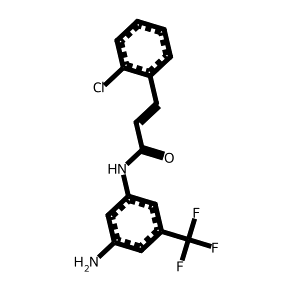 Nc1cc(NC(=O)/C=C/c2ccccc2Cl)cc(C(F)(F)F)c1